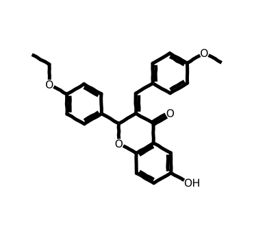 CCOc1ccc(C2Oc3ccc(O)cc3C(=O)C2=Cc2ccc(OC)cc2)cc1